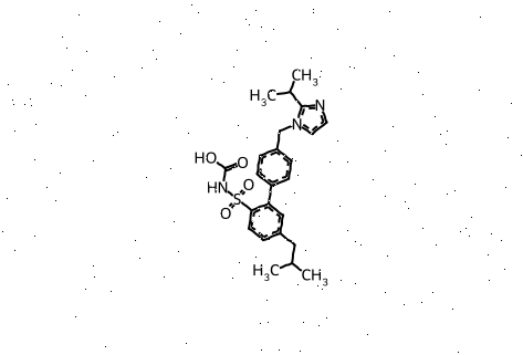 CC(C)Cc1ccc(S(=O)(=O)NC(=O)O)c(-c2ccc(Cn3ccnc3C(C)C)cc2)c1